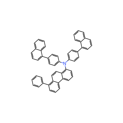 c1ccc(-c2cccc3c2ccc2c(N(c4ccc(-c5cccc6ccccc56)cc4)c4ccc(-c5cccc6ccccc56)cc4)cccc23)cc1